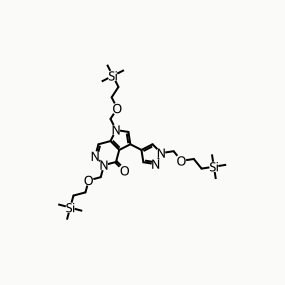 C[Si](C)(C)CCOCn1cc(-c2cn(COCC[Si](C)(C)C)c3cnn(COCC[Si](C)(C)C)c(=O)c23)cn1